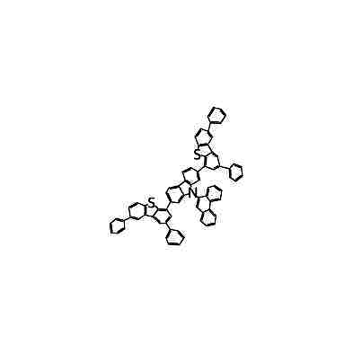 c1ccc(-c2ccc3sc4c(-c5ccc6c7ccc(-c8cc(-c9ccccc9)cc9c8sc8ccc(-c%10ccccc%10)cc89)cc7n(-c7cc8ccccc8c8ccccc78)c6c5)cc(-c5ccccc5)cc4c3c2)cc1